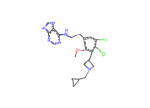 COc1c(CCNc2ncnc3[nH]cnc23)cc(Cl)c(Cl)c1C1CN(CC2CC2)C1